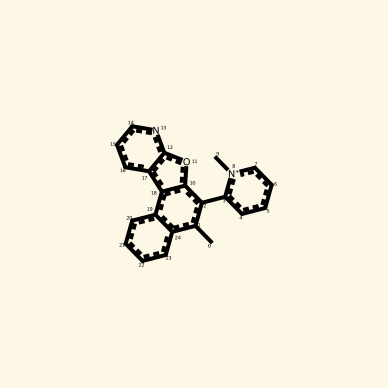 Cc1c(-c2cccc[n+]2C)c2oc3ncccc3c2c2ccccc12